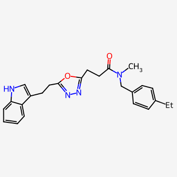 CCc1ccc(CN(C)C(=O)CCc2nnc(CCc3c[nH]c4ccccc34)o2)cc1